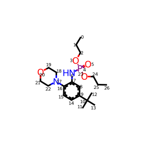 CCCOP(=O)(Nc1cc(C(C)(C)C)ccc1N1CCOCC1)OCCC